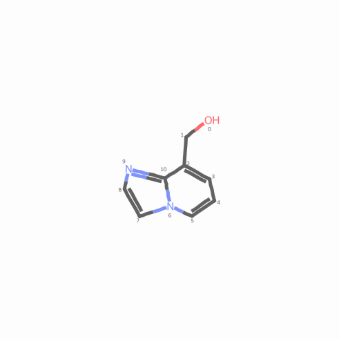 OCc1cccn2c[c]nc12